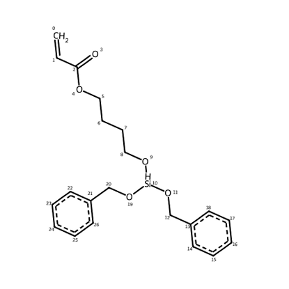 C=CC(=O)OCCCCO[SiH](OCc1ccccc1)OCc1ccccc1